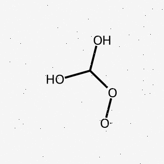 [O]OC(O)O